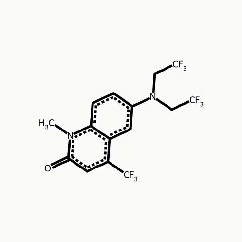 Cn1c(=O)cc(C(F)(F)F)c2cc(N(CC(F)(F)F)CC(F)(F)F)ccc21